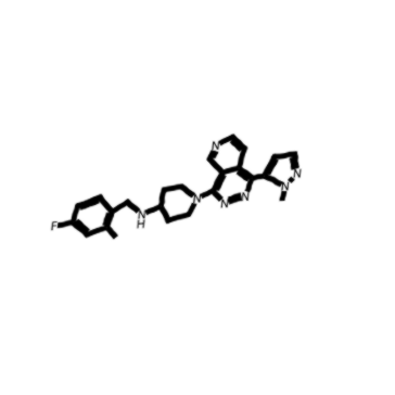 Cc1cc(F)ccc1CNC1CCN(c2nnc(-c3ccnn3C)c3ccncc23)CC1